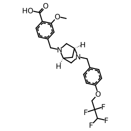 COc1cc(CN2C[C@@H]3C[C@H]2CN3Cc2ccc(OCC(F)(F)C(F)F)cc2)ccc1C(=O)O